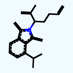 C=CCCC(C(=C)C)n1c(=C)c2cccc(C(C)C)c2c1=C